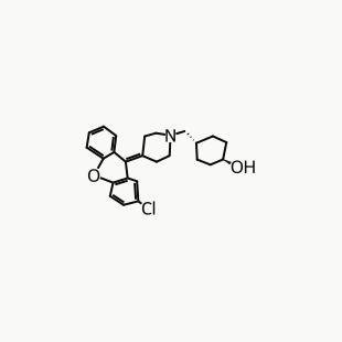 O[C@H]1CC[C@H](CN2CCC(=C3c4ccccc4Oc4ccc(Cl)cc43)CC2)CC1